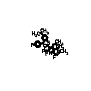 COC(=O)c1c(C(F)F)nc(C(F)(F)F)c(C(=O)Sc2ccc(C(C)C)cc2Cc2ccc(F)cc2)c1CC(C)C